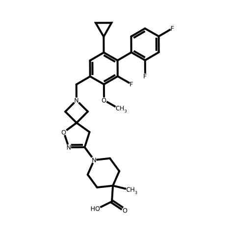 COc1c(CN2CC3(CC(N4CCC(C)(C(=O)O)CC4)=NO3)C2)cc(C2CC2)c(-c2ccc(F)cc2F)c1F